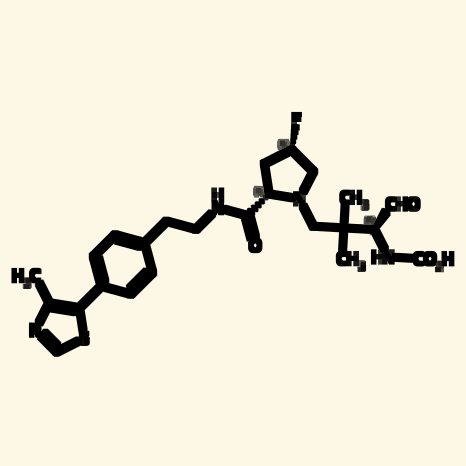 Cc1ncsc1-c1ccc(CCNC(=O)[C@@H]2C[C@H](F)CN2CC(C)(C)[C@@H](C=O)NC(=O)O)cc1